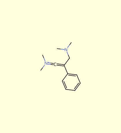 CN(C)CC(=C=[N+](C)C)c1ccccc1